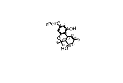 CCCCCc1cc(O)c2c(c1)OC(C)(C)C1C2C=C(C)C[C@H]1O